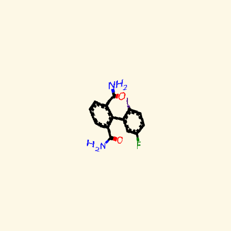 NC(=O)c1cccc(C(N)=O)c1-c1cc(F)ccc1I